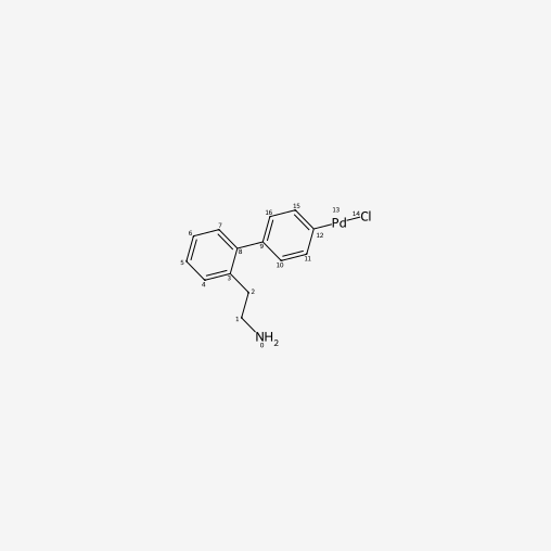 NCCc1ccccc1-c1cc[c]([Pd][Cl])cc1